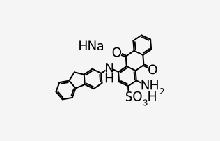 Nc1c(S(=O)(=O)O)cc(Nc2ccc3c(c2)Cc2ccccc2-3)c2c1C(=O)c1ccccc1C2=O.[NaH]